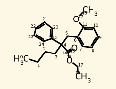 CCCCC(Cc1ccccc1OC)(C(=O)OCC)c1ccccc1